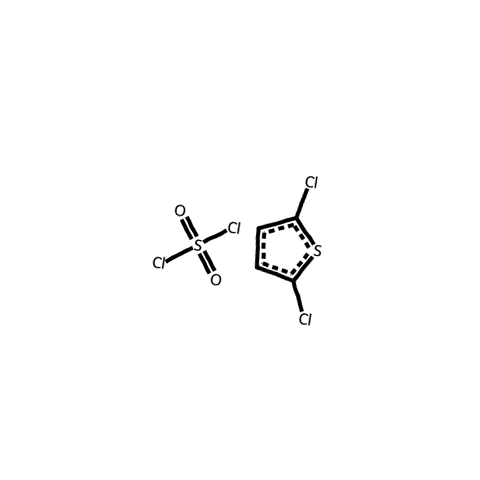 Clc1ccc(Cl)s1.O=S(=O)(Cl)Cl